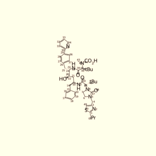 CC(C)c1nc(CN2CCN([C@H](C(=O)N[C@@H](Cc3ccccc3)C[C@@H](O)[C@H](Cc3ccc(-c4ccccn4)cc3)NC(=O)[C@@H](N(C)C(=O)O)C(C)(C)C)C(C)(C)C)C2=O)cs1